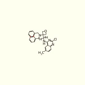 [2H]C([2H])(Nc1nc(Cl)nc2ccc(C)cc12)C1(N(Cc2ccccc2)Cc2ccccc2)COC1